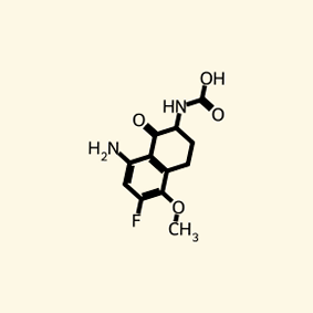 COc1c(F)cc(N)c2c1CCC(NC(=O)O)C2=O